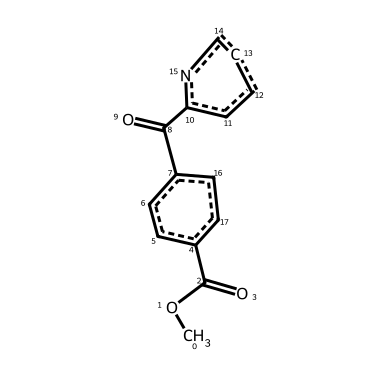 COC(=O)c1ccc(C(=O)c2ccccn2)cc1